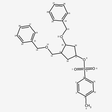 Cc1ccc(S(=O)(=O)OC2CC(COCc3ccccc3)C(OCc3ccccc3)C2)cc1